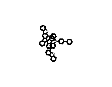 c1ccc(-c2ccc(N(c3ccc(-c4cccc5c4oc4ccccc45)cc3)c3cccc(-c4c5c(cc6c4oc4ccccc46)-c4ccccc4C54c5ccccc5-c5ccccc54)c3)cc2)cc1